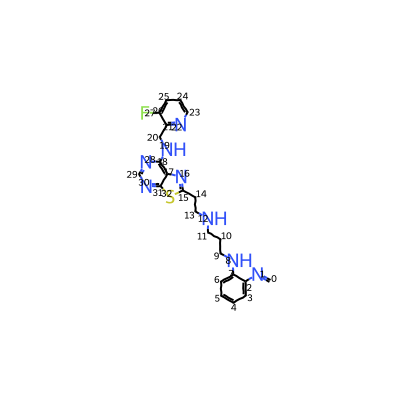 C=Nc1ccccc1NCCCNCCc1nc2c(NCc3ncccc3F)ncnc2s1